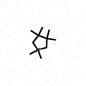 CC1(C)C[N+](C)(C)CC1(C)C